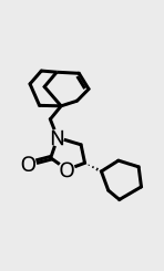 O=C1O[C@@H](C2CCCCC2)CN1CC12CC=CC(CCC1)C2